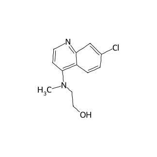 CN(CCO)c1ccnc2cc(Cl)ccc12